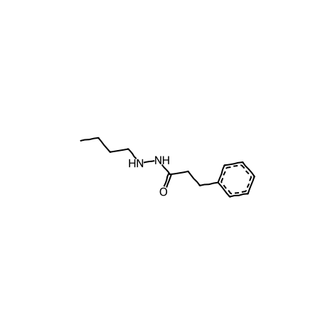 CCCCNNC(=O)CCc1ccccc1